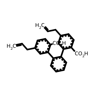 C=CCc1ccc(C(=O)O)c(-c2ccccc2-c2cc(CC=C)ccc2C(=O)O)c1